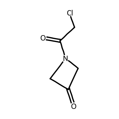 O=C1CN(C(=O)CCl)C1